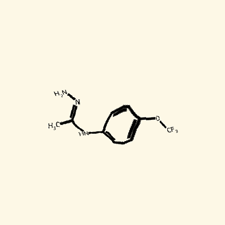 CC(=NN)Nc1ccc(OC(F)(F)F)cc1